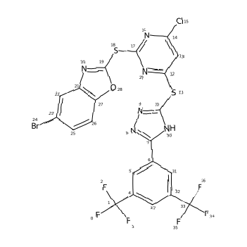 FC(F)(F)c1cc(-c2nnc(Sc3cc(Cl)nc(Sc4nc5cc(Br)ccc5o4)n3)[nH]2)cc(C(F)(F)F)c1